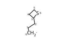 [CH2]CCC1CCS1